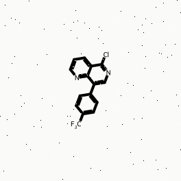 FC(F)(F)c1ccc(-c2cnc(Cl)c3cccnc23)cc1